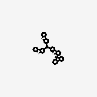 CC1(c2cccc3c2oc2cc(C4=C(c5ccc6c(c5)sc5ccccc56)C4c4ccc5sc6ccccc6c5c4)ccc23)c2ccccc2C2C=CC=CC21